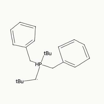 CC(C)(C)[CH][PH](Cc1ccccc1)(Cc1ccccc1)C(C)(C)C